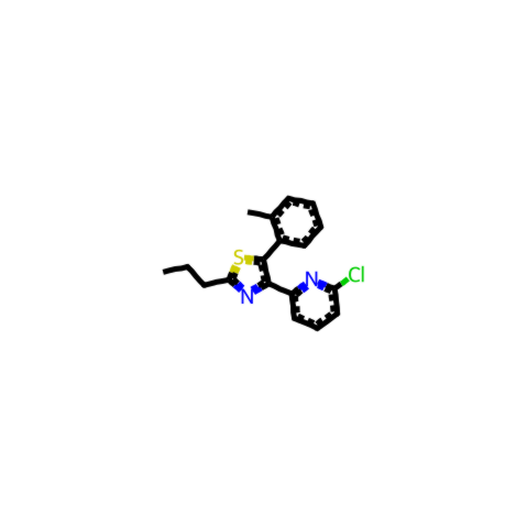 CCCc1nc(-c2cccc(Cl)n2)c(-c2ccccc2C)s1